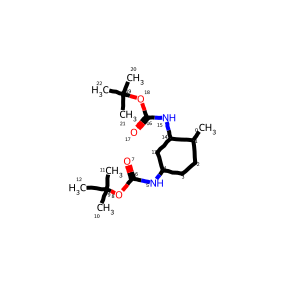 CC1CCC(NC(=O)OC(C)(C)C)CC1NC(=O)OC(C)(C)C